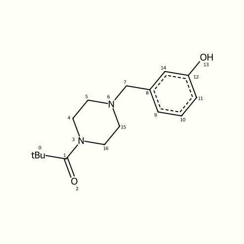 CC(C)(C)C(=O)N1CCN(Cc2cccc(O)c2)CC1